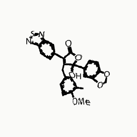 COc1ccc(CC2=C(c3ccc4nsnc4c3)C(=O)OC2(O)c2ccc3c(c2)OCO3)cc1C